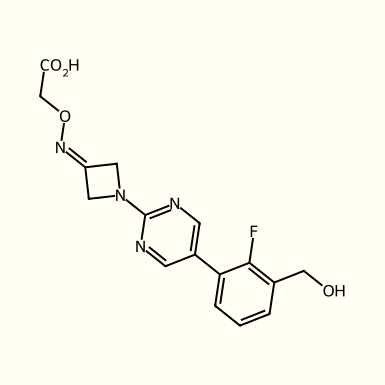 O=C(O)CON=C1CN(c2ncc(-c3cccc(CO)c3F)cn2)C1